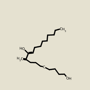 C=C(CCCCCCCCO)C(O)=CCCCCCCCC